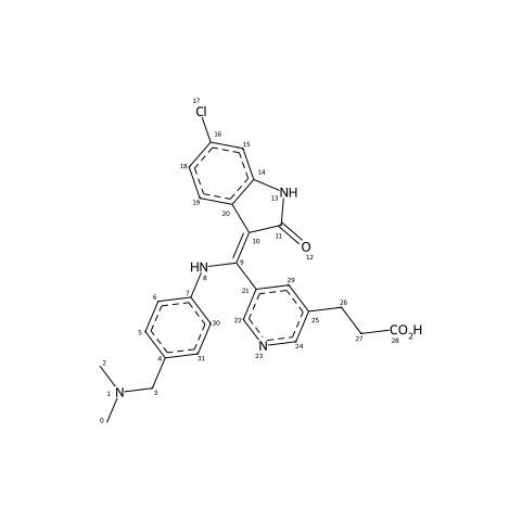 CN(C)Cc1ccc(NC(=C2C(=O)Nc3cc(Cl)ccc32)c2cncc(CCC(=O)O)c2)cc1